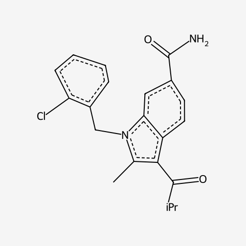 Cc1c(C(=O)C(C)C)c2ccc(C(N)=O)cc2n1Cc1ccccc1Cl